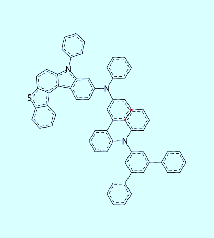 c1ccc(-c2cc(-c3ccccc3)cc(N(c3ccccc3)c3ccccc3-c3cccc(N(c4ccccc4)c4ccc5c6c7c(ccc6n(-c6ccccc6)c5c4)sc4ccccc47)c3)c2)cc1